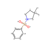 CC1(C)C[CH]N(S(=O)(=O)c2ccccc2)C1